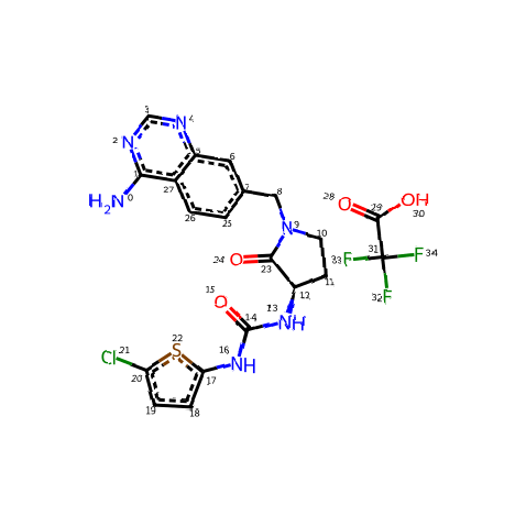 Nc1ncnc2cc(CN3CC[C@@H](NC(=O)Nc4ccc(Cl)s4)C3=O)ccc12.O=C(O)C(F)(F)F